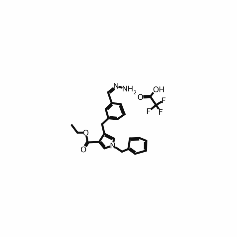 CCOC(=O)c1cn(Cc2ccccc2)cc1Cc1cccc(/C=N\N)c1.O=C(O)C(F)(F)F